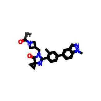 Cc1cc(-c2ccc3c(cnn3C)c2)ccc1C1=NC2(CC2)C(=O)N1CC1CN(C(=O)C(C)C)C1